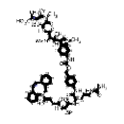 CN[C@@H](C(=O)N[C@H](C(=O)N(C)[C@H](/C=C(\C)C(=O)O)C(C)C)C(C)(C)C)C(C)(C)c1cn(C)c2cc(NC(=O)OCc3ccc(NC(=O)[C@H](CCCNC(N)=O)NC(=O)[C@@H](NC(=O)CCC(O)N4Cc5ccccc5/C=C\c5ccccc54)C(C)C)cc3)ccc12